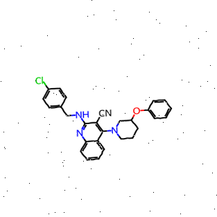 N#Cc1c(NCc2ccc(Cl)cc2)nc2ccccc2c1N1CCCC(Oc2ccccc2)C1